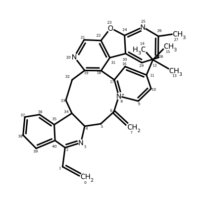 C=CC1=NC2CC(=C)[n+]3ccc(C(C)(C)C)cc3-c3c(ncc4oc5nc(C)ccc5c34)CCC2c2ccccc21